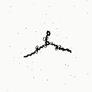 CCCCCCCOC(=O)CCCCOc1cc(OCCCCC(=O)OCCCCCCC)cc(C(=O)OCc2ccccc2)c1